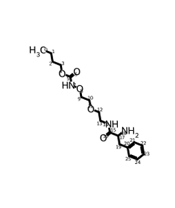 CCCCOC(=O)NOCCOCCNC(=O)C(N)Cc1ccccc1